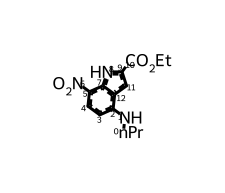 CCCNc1ccc([N+](=O)[O-])c2[nH]c(C(=O)OCC)cc12